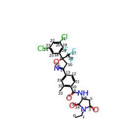 CCN1C(=O)C[C@@H](NC(=O)c2ccc(C3=NOC(c4cc(Cl)cc(Cl)c4)(C(F)(F)F)C3)cc2C)C1=O